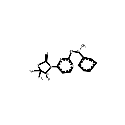 CC(C)[C@@H]1N(c2ccnc(N[C@H](C)c3ccccc3)n2)C(=O)OC1(C)C